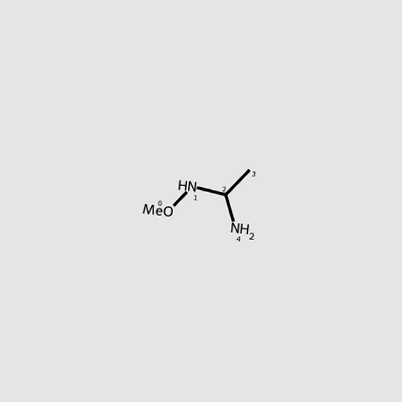 CONC(C)N